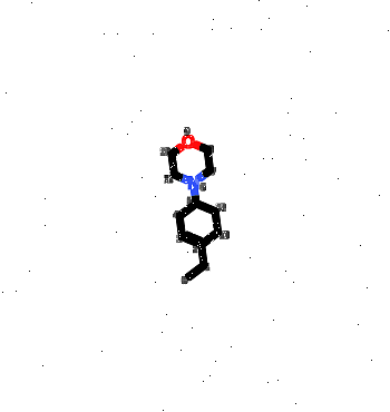 CCC1=CCC(N2CCOCC2)CC1